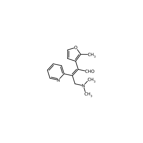 Cc1occc1C(C=O)=C(CN(C)C)c1ccccn1